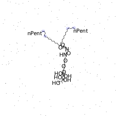 CCCCC/C=C\C/C=C\CCCCCCCCC1(CCCCCCCC/C=C\C/C=C\CCCCC)OC[C@H](CN(C)CC(=O)NCCOCCOCCO[C@H](O)[C@H](O)C(O)[C@H](O)C(C)CO)O1